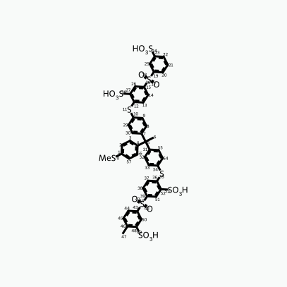 CSc1ccc(C(C)(c2ccc(Sc3ccc(S(=O)(=O)c4cccc(S(=O)(=O)O)c4)cc3S(=O)(=O)O)cc2)c2ccc(Sc3ccc(S(=O)(=O)c4ccc(C)c(S(=O)(=O)O)c4)cc3S(=O)(=O)O)cc2)cc1